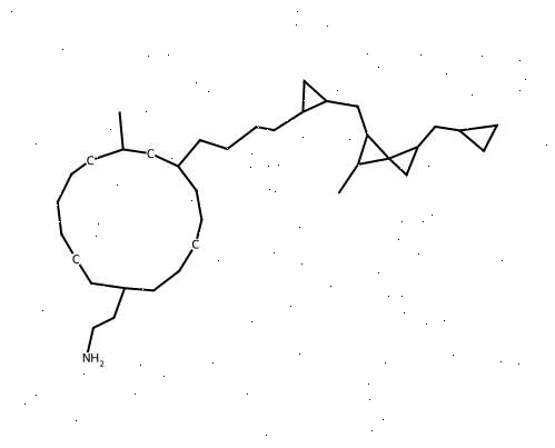 CC1CCCCCCC(CCN)CCCCCC(CCCCC2CC2CC2C(C)C23CC3CC2CC2)C1